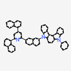 c1ccc(-n2c3ccccc3c3c4c5ccccc5n(-c5ccc6ccc(-c7cc(-c8cccc9ccccc89)cc(-c8cccc9ccccc89)n7)cc6c5)c4ccc32)cc1